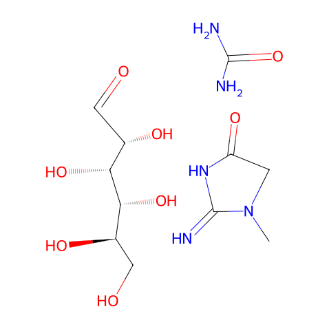 CN1CC(=O)NC1=N.NC(N)=O.O=C[C@H](O)[C@@H](O)[C@H](O)[C@H](O)CO